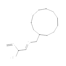 C=NC(/C=N/CC1CCCCCCCCCC1)CCC